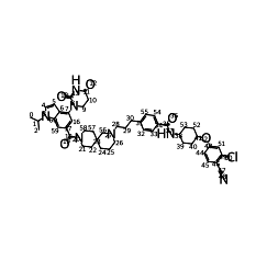 CC(C)n1ccc2c(N3CCC(=O)NC3=O)cc(C(=O)N3CCC4(CCCN(CCCc5ccc(C(=O)NC6CCC(Oc7ccc(C#N)c(Cl)c7)CC6)cc5)C4)CC3)cc21